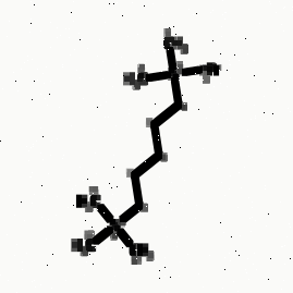 CCC[N+](C)(C)CCCCC[N+](C)(C)C